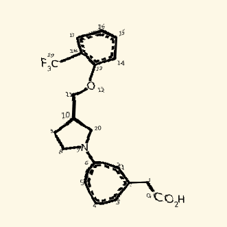 O=C(O)Cc1cccc(N2CCC(COc3ccccc3C(F)(F)F)C2)c1